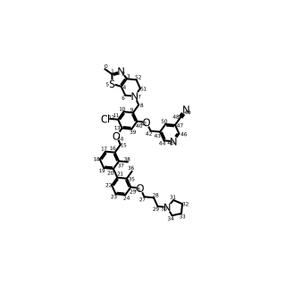 Cc1nc2c(s1)CN(Cc1cc(Cl)c(OCc3cccc(-c4cccc(OCCCN5CCCC5)c4C)c3C)cc1OCc1cncc(C#N)c1)CC2